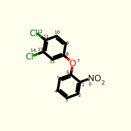 O=[N+]([O-])c1ccccc1Oc1ccc(Cl)c(Cl)c1